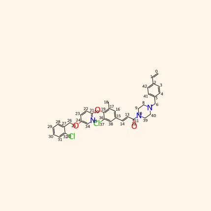 C=Cc1ccc(CN2CCN(C(=O)C=Cc3cc(C)c(Oc4ccc(OCc5ccccc5Cl)cn4)c(Cl)c3)CC2)cc1